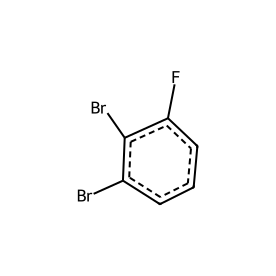 Fc1cccc(Br)c1Br